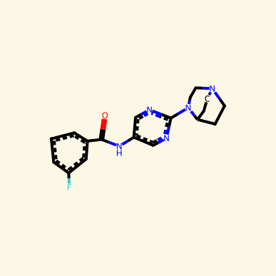 O=C(Nc1cnc(N2CCN3CCC2CC3)nc1)c1cccc(F)c1